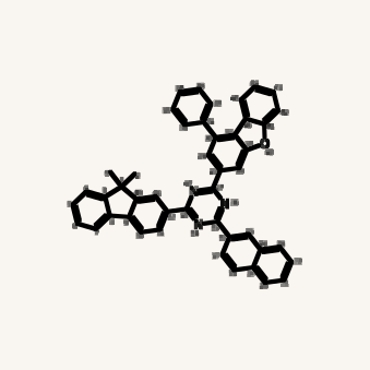 CC1(C)c2ccccc2-c2ccc(-c3nc(-c4ccc5ccccc5c4)nc(-c4cc(-c5ccccc5)c5c(c4)oc4ccccc45)n3)cc21